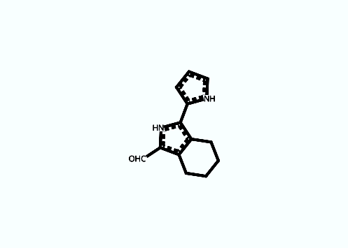 O=Cc1[nH]c(-c2ccc[nH]2)c2c1CCCC2